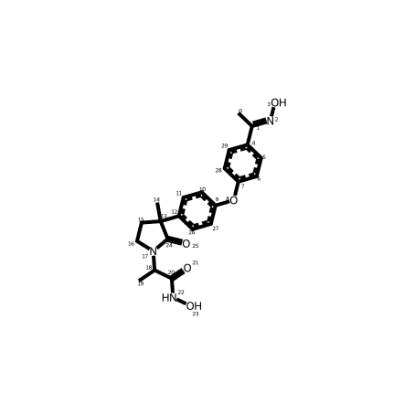 C/C(=N\O)c1ccc(Oc2ccc(C3(C)CCN(C(C)C(=O)NO)C3=O)cc2)cc1